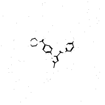 Cc1cc(C(=O)Nc2ccc(Br)cn2)n(-c2ccc(C(=N)N3CCOCC3)cc2)n1